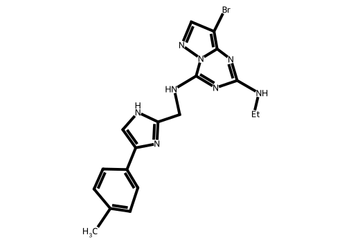 CCNc1nc(NCc2nc(-c3ccc(C)cc3)c[nH]2)n2ncc(Br)c2n1